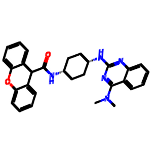 CN(C)c1nc(N[C@H]2CC[C@@H](NC(=O)C3c4ccccc4Oc4ccccc43)CC2)nc2ccccc12